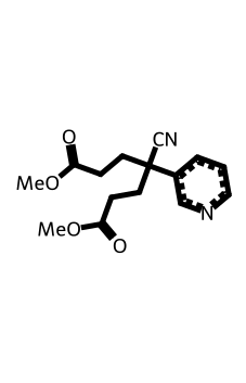 COC(=O)CCC(C#N)(CCC(=O)OC)c1cccnc1